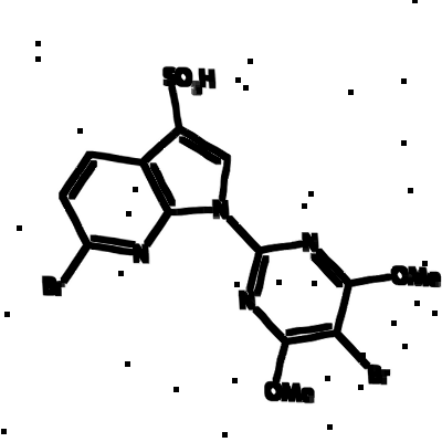 COc1nc(-n2cc(S(=O)(=O)O)c3ccc(Br)nc32)nc(OC)c1Br